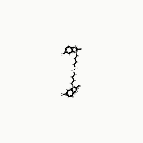 Cc1sc2ccc(Cl)cc2[n+]1CCCCSSCCCC[n+]1c(C)sc2ccc(Cl)cc21